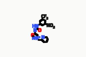 O=C([N-]c1c[n+](Cc2ccccn2)no1)Nc1cc([N+](=O)[O-])cc(C(F)(F)F)c1